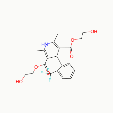 CC1=C(C(=O)OCCO)C(c2ccccc2C(F)(F)F)C(C(=O)OCCO)=C(C)N1